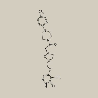 O=C(C[C@H]1CC[C@H](COc2cn[nH]c(=O)c2C(F)(F)F)O1)N1CCN(c2ccc(C(F)(F)F)cn2)CC1